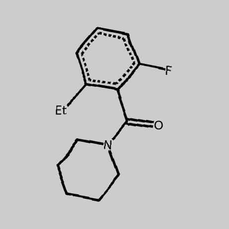 CCc1cccc(F)c1C(=O)N1CCCCC1